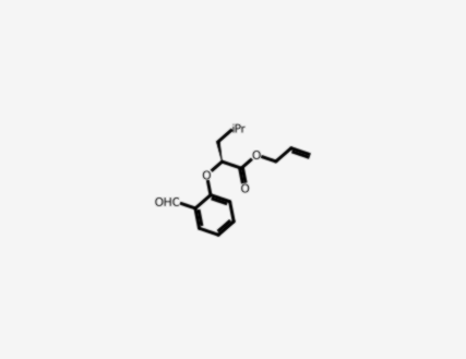 C=CCOC(=O)[C@H](CC(C)C)Oc1ccccc1C=O